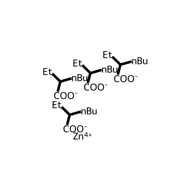 CCCCC(CC)C(=O)[O-].CCCCC(CC)C(=O)[O-].CCCCC(CC)C(=O)[O-].CCCCC(CC)C(=O)[O-].[Zn+4]